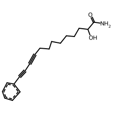 NC(=O)C(O)CCCCCCCC#CC#Cc1ccccc1